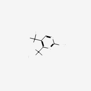 CCC(C)(CC)c1cnc(OC)nc1C(C)(CC)CC